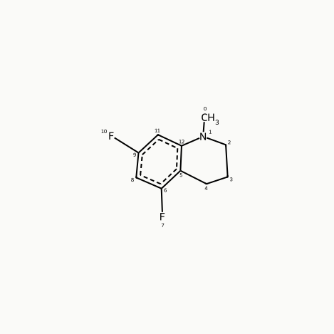 CN1CCCc2c(F)cc(F)cc21